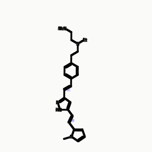 CCN(CCNC)CCc1ccc(/C=C/c2cc(/C=C/c3cccn3C)[nH]n2)cc1